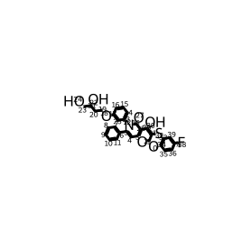 O=c1oc2cc(-c3ccccc3)n(-c3cccc(OCCC(O)CO)c3)c(=O)c2c(O)c1Sc1cccc(F)c1